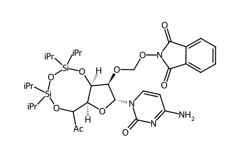 CC(=O)C1O[Si](C(C)C)(C(C)C)O[Si](C(C)C)(C(C)C)O[C@H]2[C@@H](OCON3C(=O)c4ccccc4C3=O)[C@H](n3ccc(N)nc3=O)O[C@@H]12